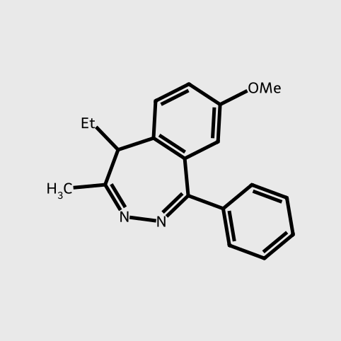 CCC1C(C)=NN=C(c2ccccc2)c2cc(OC)ccc21